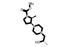 C[C@H](O)CN1CCN([C@H]2CCN(C(=O)OC(C)(C)C)[C@H]2C)CC1